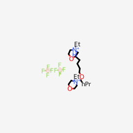 CCCC(OCCCCC1C[NH+](CC)CCO1)[N+]1(CC)CCOCC1.F[B-](F)(F)F.F[B-](F)(F)F